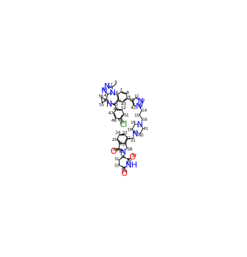 Cc1nnc2n1-c1ccc(-c3cnn(CCCN4CCN(Cc5cccc6c5CN(C5CCC(=O)NC5=O)C6=O)CC4)c3)cc1C(c1ccc(Cl)cc1)=NC21CC1